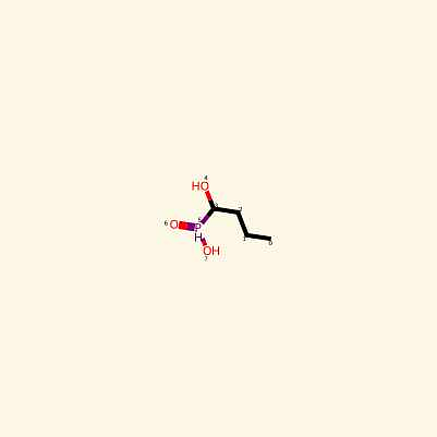 CCCC(O)[PH](=O)O